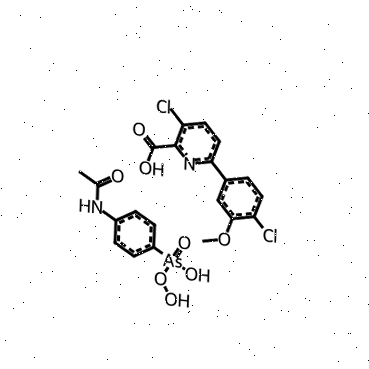 CC(=O)Nc1ccc([As](=O)(O)OO)cc1.COc1cc(-c2ccc(Cl)c(C(=O)O)n2)ccc1Cl